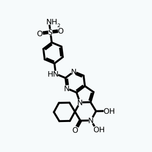 NS(=O)(=O)c1ccc(Nc2ncc3cc4n(c3n2)C2(CCCCC2)C(=O)N(O)C4O)cc1